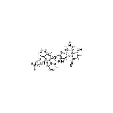 COc1ccccc1[C@@H](NC(=O)OC(C)(C)C)C(=O)N1CCOC[C@H]1C(=O)Nc1ccc(-c2cn(C)nc2-c2cc(C#N)ccc2O)cc1